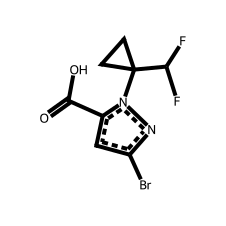 O=C(O)c1cc(Br)nn1C1(C(F)F)CC1